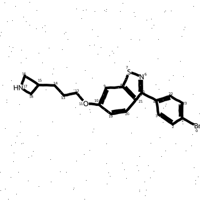 Brc1ccc(-c2nsc3cc(OCCCC4CNC4)ccc23)cc1